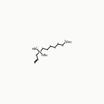 C=CC[N+](CCCC)(CCCC)CCCCCCCCCCCCCCCC